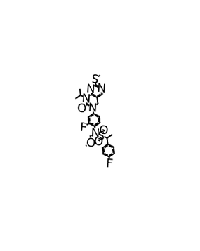 COCN(c1ccc(N2Cc3cnc(SC)nc3N(C(C)C)C2=O)cc1F)S(=O)(=O)C(C)c1ccc(F)cc1